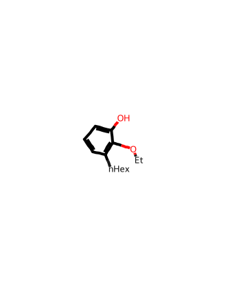 CCCCCCc1cccc(O)c1OCC